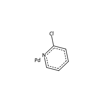 Clc1ccccn1.[Pd]